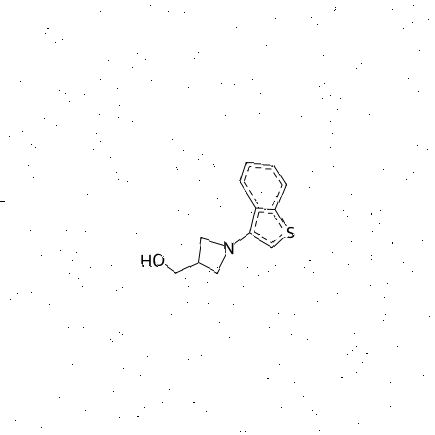 OCC1CN(c2csc3ccccc23)C1